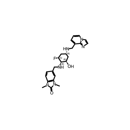 Cn1c(=O)n(C)c2cc(CN[C@@H]3[C@H](O)C[C@@H](NCc4cccn5ccnc45)C[C@@H]3F)ccc21